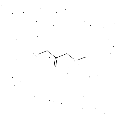 CCOCC(=O)CC(C)=O